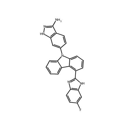 Nc1n[nH]c2cc(-n3c4ccccc4c4c(-c5nc6ccc(F)cc6[nH]5)cccc43)ccc12